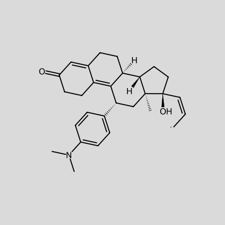 [CH2]/C=C\[C@@]1(O)CC[C@H]2[C@@H]3CCC4=CC(=O)CCC4=C3[C@@H](c3ccc(N(C)C)cc3)C[C@@]21C